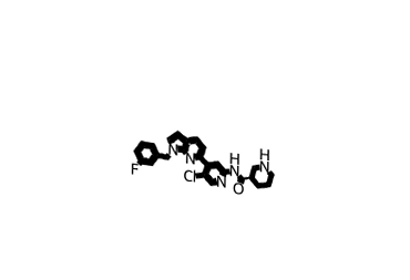 O=C(Nc1cc(-c2ccc3ccn(Cc4cccc(F)c4)c3n2)c(Cl)cn1)[C@@H]1CCCNC1